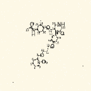 COc1ccccc1COCCCOc1ccc(N2C(=O)CNC[C@@H]2COc2ccc(NC(C)=O)cc2)cc1